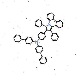 c1ccc(-c2ccc(N(c3ccc(-c4ccccc4)cc3)c3ccc(-c4c(-c5ccccc5)c5c6ccccc6c6ccccc6n5c4-c4ccccc4)cc3)cc2)cc1